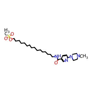 CN1CCN(c2ccc(C(=O)NCCCCCCCCCCCCCCCCOS(C)(=O)=O)cn2)CC1